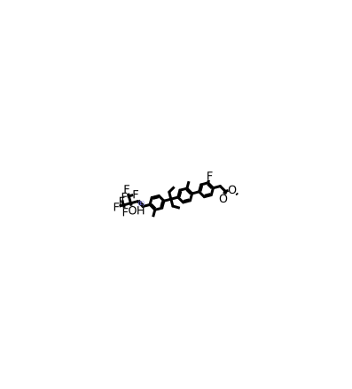 CCC(CC)(c1ccc(/C=C/C(O)(C(F)(F)F)C(F)(F)F)c(C)c1)c1ccc(-c2ccc(CC(=O)OC)c(F)c2)c(C)c1